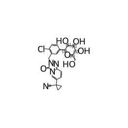 N#CC1(c2ccc3nn(Cc4cc([C@@H]5O[C@H](CO)[C@@H](O)[C@H](O)[C@@H]5O)ccc4Cl)c(=O)n3c2)CC1